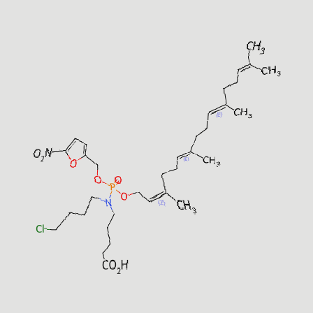 CC(C)=CCC/C(C)=C/CC/C(C)=C/CC/C(C)=C\COP(=O)(OCc1ccc([N+](=O)[O-])o1)N(CCCCCl)CCCCC(=O)O